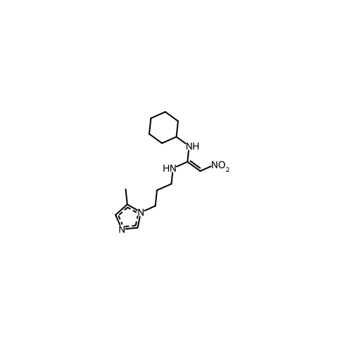 Cc1cncn1CCCN/C(=C/[N+](=O)[O-])NC1CCCCC1